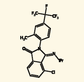 Cc1cc(C(F)(C(F)(F)F)C(F)(F)F)ccc1N1C(=O)c2cccc(Cl)c2/C1=N\C(C)C